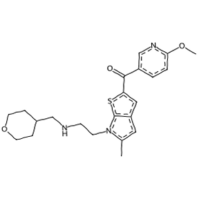 COc1ccc(C(=O)c2cc3cc(C)n(CCNCC4CCOCC4)c3s2)cn1